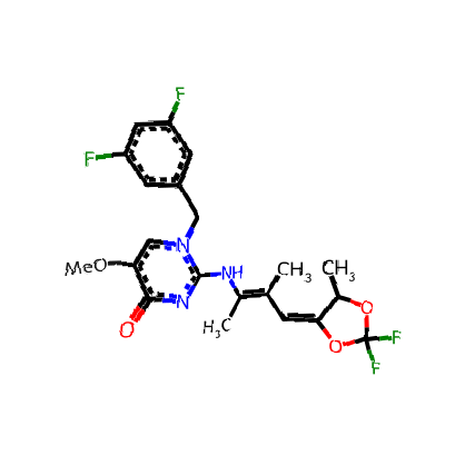 COc1cn(Cc2cc(F)cc(F)c2)c(N/C(C)=C(C)/C=C2/OC(F)(F)OC2C)nc1=O